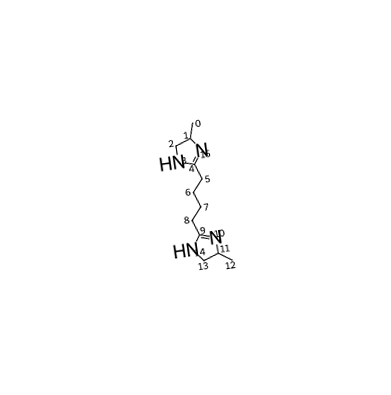 CC1CNC(CCCCC2=NC(C)CN2)=N1